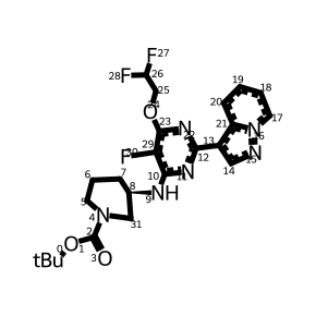 CC(C)(C)OC(=O)N1CCC[C@@H](Nc2nc(-c3cnn4ccccc34)nc(OCC(F)F)c2F)C1